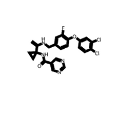 C=C(NCc1ccc(Oc2ccc(Cl)c(Cl)c2)c(F)c1)C1(NC(=O)c2cncnc2)CC1